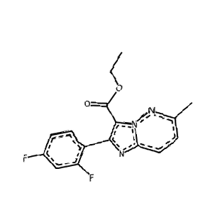 CCOC(=O)c1c(-c2ccc(F)cc2F)nc2ccc(C)nn12